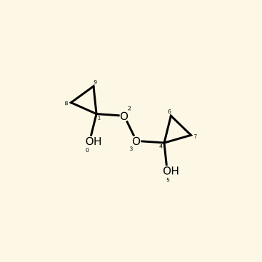 OC1(OOC2(O)CC2)CC1